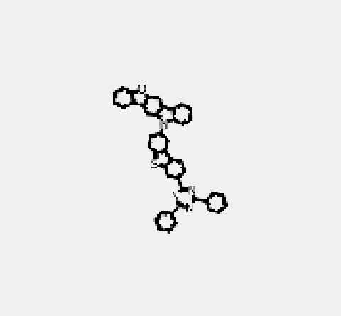 c1ccc(-c2nc(-c3ccccc3)nc(-c3ccc4c(c3)sc3ccc(-n5c6ccccc6c6cc7oc8ccccc8c7cc65)cc34)n2)cc1